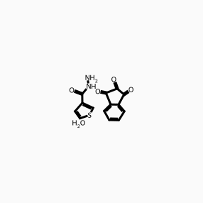 NNC(=O)c1ccsc1.O.O=c1c(=O)c2ccccc2c1=O